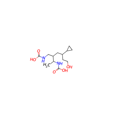 CC(NC(=O)O)C(CNC(=O)O)CC(CCO)C1CC1